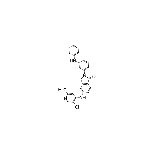 Cc1cc(Nc2ccc3c(c2)CN(c2cccc(Nc4ccccc4)c2)C3=O)c(Cl)cn1